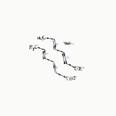 C/C=C/C=C/C(=O)[O-].C/C=C/C=C/C(=O)[O-].[Mn+2]